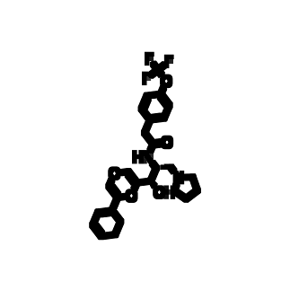 O=C(Cc1ccc(OC(F)(F)F)cc1)N[C@H](CN1CCCC1)[C@@H](O)C1=COC=C(C2=CC=CCC2)O1